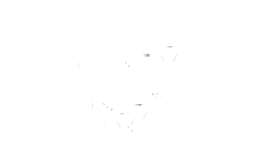 COc1ccc2ncc(F)c([C@H](N)CCC3CCN(CC#Cc4cccc(F)c4)CC3CC(=O)O)c2c1